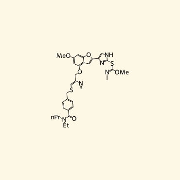 C=N/C(=C\SCc1ccc(C(=O)N(CC)CCC)cc1)COc1cc(OC)cc2oc(-c3c[nH]c(SC(=NI)OC)n3)cc12